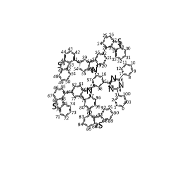 c1ccc(-c2nc(-c3ccccc3)nc(-c3cc(-n4c5ccc(-c6cccc7sc8ccccc8c67)cc5c5cc(-c6cccc7sc8ccccc8c67)ccc54)cc(-n4c5ccc(-c6cccc7sc8ccccc8c67)cc5c5cc(-c6cccc7sc8ccccc8c67)ccc54)c3)n2)cc1